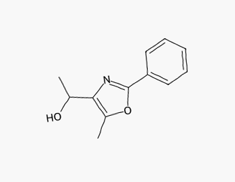 Cc1oc(-c2ccccc2)nc1C(C)O